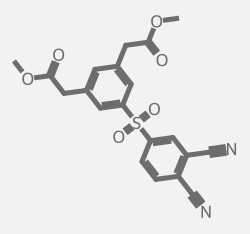 COC(=O)Cc1cc(CC(=O)OC)cc(S(=O)(=O)c2ccc(C#N)c(C#N)c2)c1